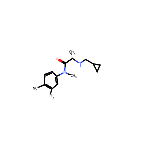 C[C@H](NCC1CC1)C(=O)N(C)c1ccc(C#N)c(C(F)(F)F)c1